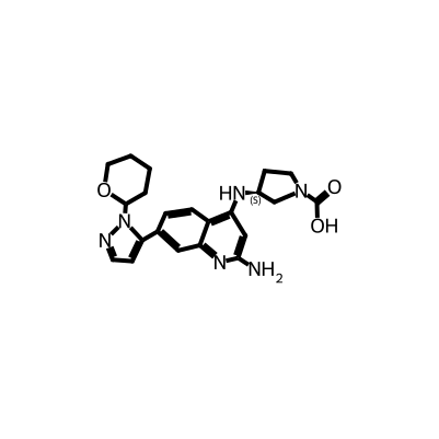 Nc1cc(N[C@H]2CCN(C(=O)O)C2)c2ccc(-c3ccnn3C3CCCCO3)cc2n1